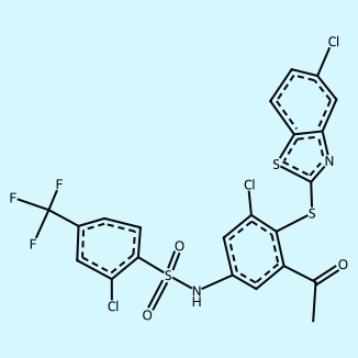 CC(=O)c1cc(NS(=O)(=O)c2ccc(C(F)(F)F)cc2Cl)cc(Cl)c1Sc1nc2cc(Cl)ccc2s1